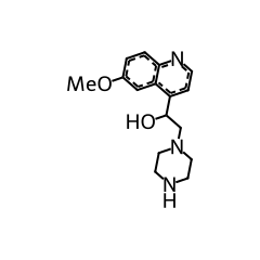 COc1ccc2nccc(C(O)CN3CCNCC3)c2c1